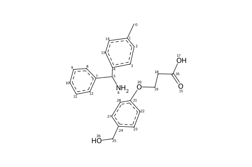 Cc1ccc(C(N)c2ccccc2)cc1.O=C(O)CCOc1ccc(CO)cc1